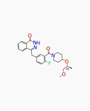 COC[C@H](C)OC1CCN(C(=O)c2cc(Cc3n[nH]c(=O)c4ccccc34)ccc2F)CC1